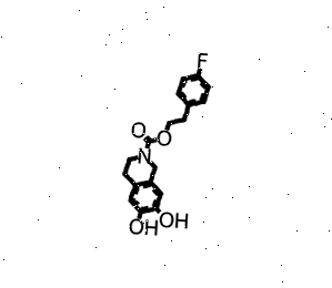 O=C(OCCc1ccc(F)cc1)N1CCc2cc(O)c(O)cc2C1